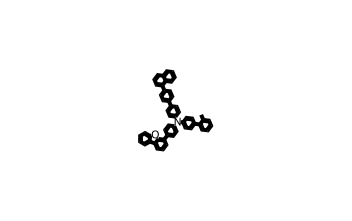 Cc1ccccc1-c1ccc(N(c2ccc(-c3ccc(-c4cccc5ccccc45)cc3)cc2)c2ccc(-c3cccc4c3oc3ccccc34)cc2)cc1